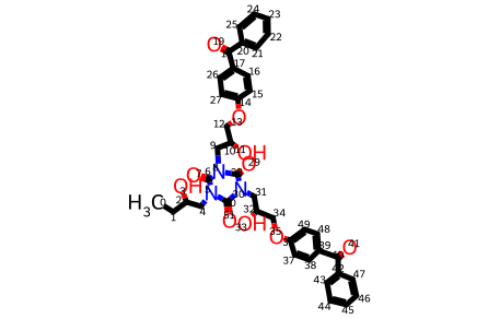 CCC(O)Cn1c(=O)n(CC(O)COc2ccc(C(=O)c3ccccc3)cc2)c(=O)n(CC(O)COc2ccc(C(=O)c3ccccc3)cc2)c1=O